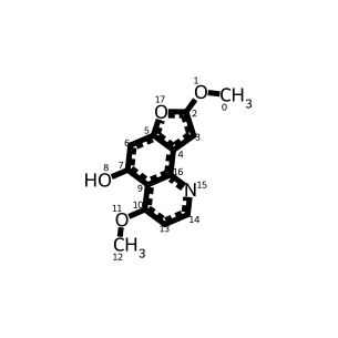 COc1cc2c(cc(O)c3c(OC)ccnc32)o1